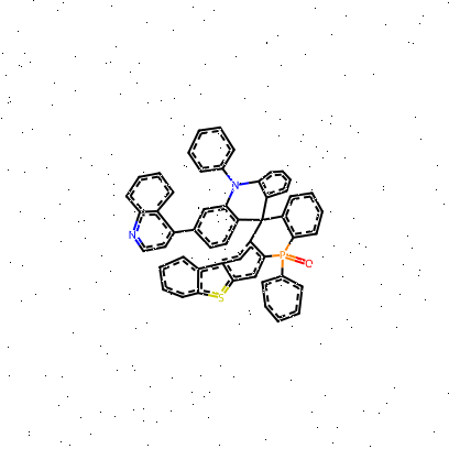 O=P1(c2ccccc2)c2ccccc2C2(c3ccccc3N(c3ccccc3)c3cc(-c4ccnc5ccccc45)ccc32)c2cc3c(cc21)sc1ccccc13